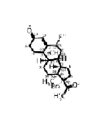 CC(=O)[C@]1(Br)CC[C@H]2[C@@H]3C[C@H](F)C4=CC(=O)CC[C@]4(C)[C@H]3CC[C@@]21C